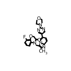 Cc1nc2ccc(-c3cnc(N4CCOCC4)nc3)cn2c1CN1C(=O)COc2c(F)cccc21